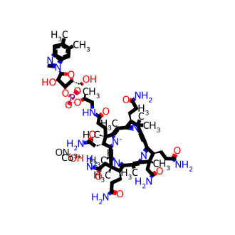 C/C1=C2/[N-][C@H]([C@H](CC(N)=O)[C@@]2(C)CCC(=O)NC[C@H](C)OP(=O)([O-])O[C@H]2[C@@H](O)[C@@H](n3cnc4cc(C)c(C)cc43)O[C@@H]2CO)[C@]2(C)N=C(/C(C)=C3N=C(/C=C4N=C1[C@@H](CCC(N)=O)C\4(C)C)[C@@H](CCC(N)=O)[C@]\3(C)CC(N)=O)[C@@H](CCC(N)=O)[C@]2(C)CC(N)=O.O=NO.[Co+3]